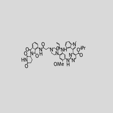 C=CC(=O)Nc1cc(Nc2ncc(C(=O)OC(C)C)c(-c3cn(C)c4ccccc34)n2)c(OC)cc1N1CCN(CCC(=O)Nc2cccc3c2C(=O)N(C2CCC(=O)NC2=O)C3=O)CC1